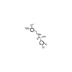 COc1cc(CCNC(=O)[C@H](O)c2ccc(Cl)c(F)c2)ccc1O